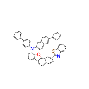 c1ccc(-c2ccc(N(c3ccc4cc(-c5ccccc5)ccc4c3)c3cccc4c3oc3c5cc(-c6nc7ccccc7s6)ccc5ccc43)cc2)cc1